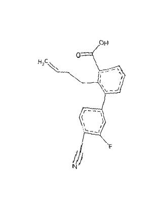 C=CCCc1c(C(=O)O)cccc1-c1ccc(C#N)c(F)c1